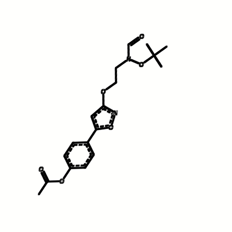 CC(=O)Oc1ccc(-c2cc(OCCN(C=O)OC(C)(C)C)no2)cc1